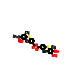 COc1cc(C#N)c(Sc2ccc(C(=O)OC(=O)c3ccc(Sc4c(C#N)cc(O)c(O)c4C#N)cc3)cc2)c(C#N)c1O